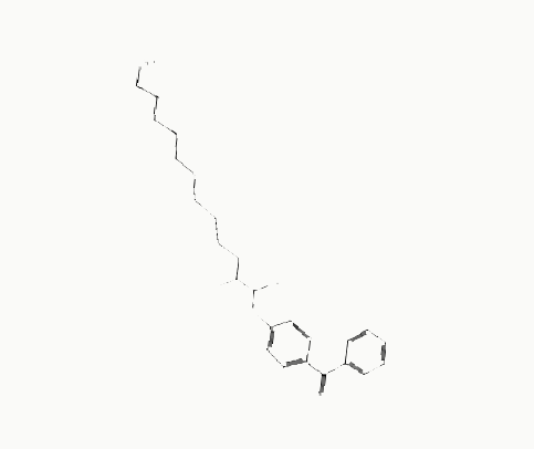 O=C(c1ccccc1)c1ccc(OC(O)C(O)CCCCCCCCCCO)cc1